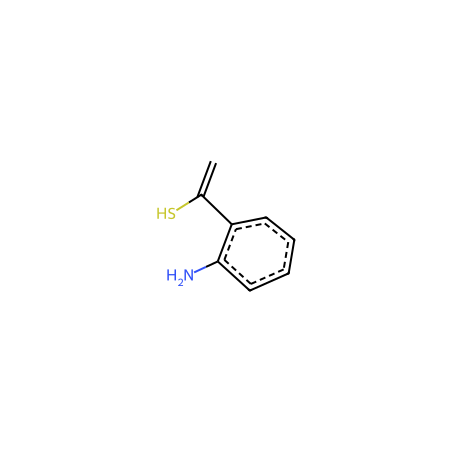 C=C(S)c1ccccc1N